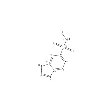 CNS(=O)(=O)c1ccc2ncsc2c1